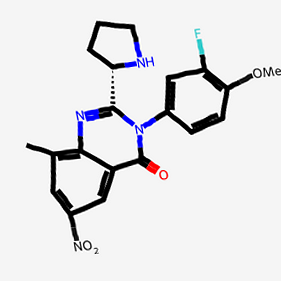 COc1ccc(-n2c([C@@H]3CCCN3)nc3c(C)cc([N+](=O)[O-])cc3c2=O)cc1F